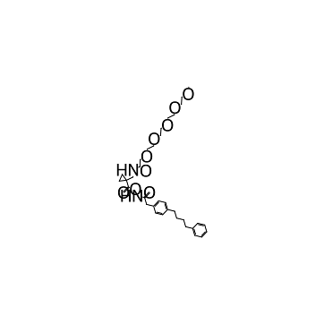 COCCOCCOCCOCCOCC(=O)NCC1(C(=O)ONC(=O)Cc2ccc(CCCCc3ccccc3)cc2)CC1